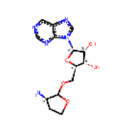 N[C@@H]1CCOC1OC[C@H]1O[C@@H](n2cnc3cncnc32)[C@H](O)[C@@H]1O